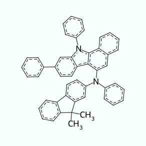 CC1(C)c2ccccc2-c2ccc(N(c3ccccc3)c3cc4ccccc4c4c3c3ccc(-c5ccccc5)cc3n4-c3ccccc3)cc21